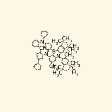 Cc1cc2c3c(c1)N(c1cc4c(cc1C)C(C)(C)CCC4(C)C)c1cc4c(cc1B3c1ccc(N(c3ccccc3)c3ccccc3)cc1N2c1cc(-c2ccccc2)ccc1C)C(C)(C)CC4(C)C